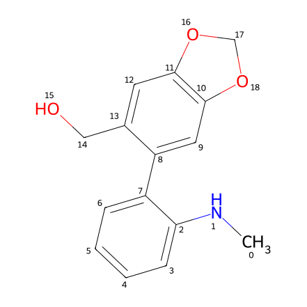 CNc1ccccc1-c1cc2c(cc1CO)OCO2